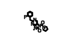 Cn1c(=O)n(C(=O)N2CCCC2)c2cnc(Cc3ccccc3F)nc21